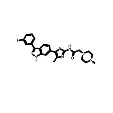 Cc1nc(NC(=O)CN2CCN(C)CC2)sc1-c1ccc2c(-c3cccc(F)c3)n[nH]c2c1